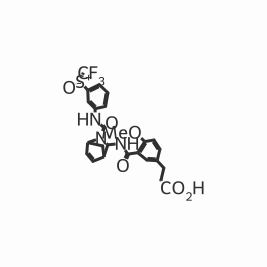 COc1ccc(CCC(=O)O)cc1C(=O)NC1C2C=CC(C2)N1C(=O)Nc1cccc([S+]([O-])C(F)(F)F)c1